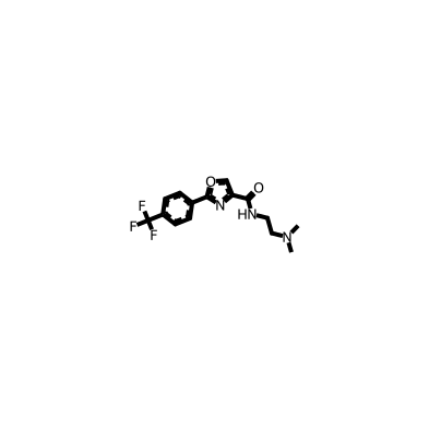 CN(C)CCNC(=O)c1coc(-c2ccc(C(F)(F)F)cc2)n1